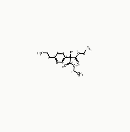 CCCc1ccc(C(F)(C(=O)OCC)C(=O)OCC)cc1